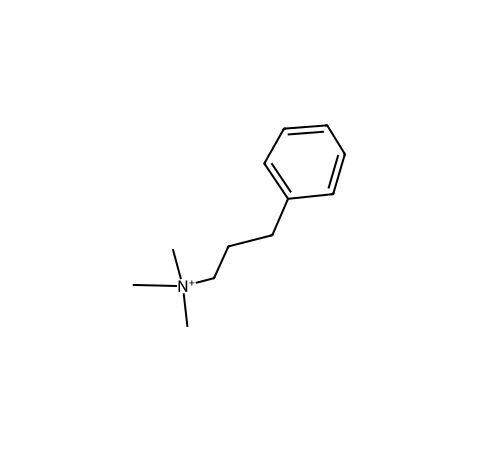 C[N+](C)(C)CCCc1ccccc1